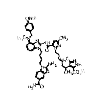 COc1ccc(CN(C)c2cccc3c2nc(NC(=O)c2cc(C)nn2CCCCCC(C)c2c(C)n[nH]c2C(=O)O)n3CCCCn2c(N)nc3cc(C(N)=O)ccc32)cc1